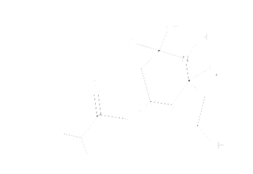 CCCC1(C)CC(OC(=O)C(C)I)CC(C)(C)N1O